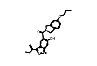 C=C(CC)c1n[nH]c2cc(O)c(C(=O)N3Cc4ccc(OCCC)cc4C3)cc12